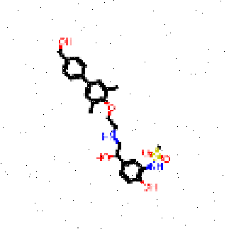 Cc1cc(-c2ccc(CO)cc2)cc(C)c1OCCNC[C@H](O)c1ccc(O)c(NS(C)(=O)=O)c1